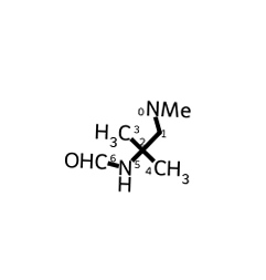 CNCC(C)(C)NC=O